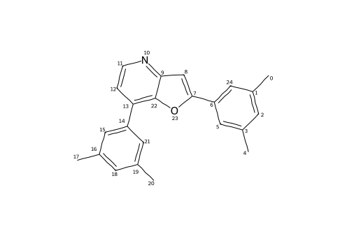 Cc1cc(C)cc(-c2cc3nccc(-c4cc(C)cc(C)c4)c3o2)c1